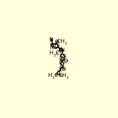 COc1cc(-c2cnn(C3CCN(C(=O)C4(F)CN(C(=O)/C=C/CN(C)C)C4)CC3)c2C)cn2ncc(C#N)c12